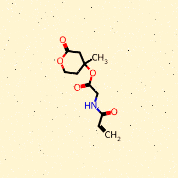 C=CC(=O)NCC(=O)OC1(C)CCOC(=O)C1